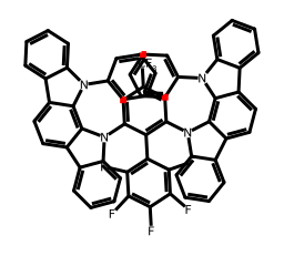 Fc1c(F)c(F)c(-c2c(-n3c4ccccc4c4ccc5c6ccccc6n(-c6ccccc6)c5c43)cc(C(F)(F)F)cc2-n2c3ccccc3c3ccc4c5ccccc5n(-c5ccccc5)c4c32)c(F)c1F